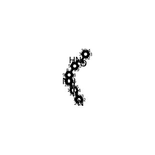 O=C(Nc1ccc(-c2ccc3ncc(N4CCN(c5ccncc5)CC4)nc3c2)cc1)c1ccccc1